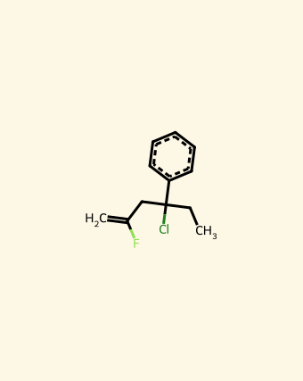 C=C(F)CC(Cl)(CC)c1ccccc1